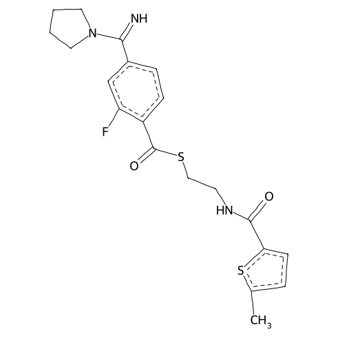 Cc1ccc(C(=O)NCCSC(=O)c2ccc(C(=N)N3CCCC3)cc2F)s1